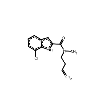 C=CCCN(C)C(=O)c1cc2cccc(Cl)c2[nH]1